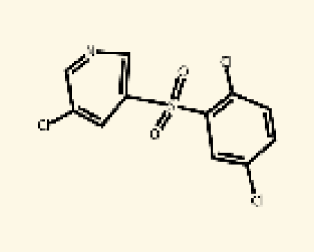 O=S(=O)(c1cncc(Cl)c1)c1cc(Cl)ccc1Cl